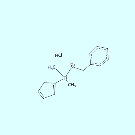 Cl.[CH3][Ti]([CH3])([SiH2]Cc1ccccc1)[C]1=CC=CC1